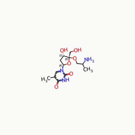 Cc1cn([C@H]2C[C@H](O)[C@](CO)(OCC(C)N)O2)c(=O)[nH]c1=O